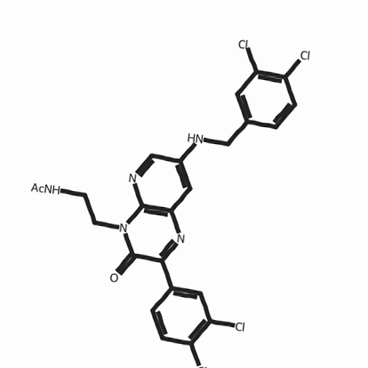 CC(=O)NCCn1c(=O)c(-c2ccc(Cl)c(Cl)c2)nc2cc(NCc3ccc(Cl)c(Cl)c3)cnc21